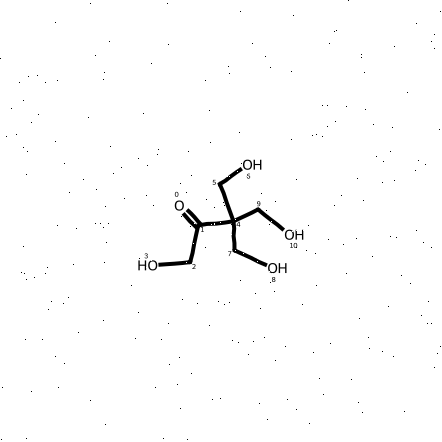 O=C(CO)C(CO)(CO)CO